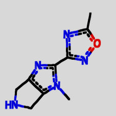 Cc1nc(-c2nc3c(n2C)CNC3)no1